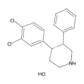 Cl.Clc1ccc(C2CCNCC2c2ccccc2)cc1Cl